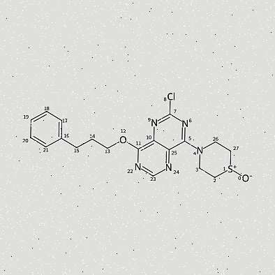 [O-][S+]1CCN(c2nc(Cl)nc3c(OCCCc4ccccc4)ncnc23)CC1